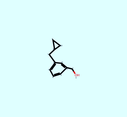 OCc1cccc(CC2CC2)c1